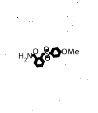 COc1ccc(S(=O)(=O)Cc2ccccc2C(N)=O)cc1